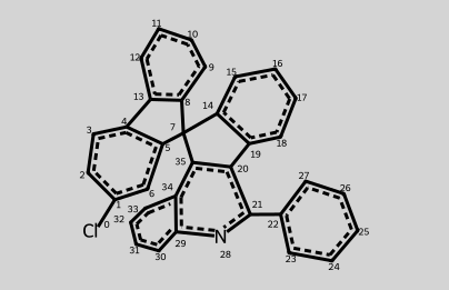 Clc1ccc2c(c1)C1(c3ccccc3-2)c2ccccc2-c2c(-c3ccccc3)nc3ccccc3c21